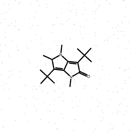 CC1C(C(C)(C)C)=C2C(=C(C(C)(C)C)C(=O)N2C)N1C